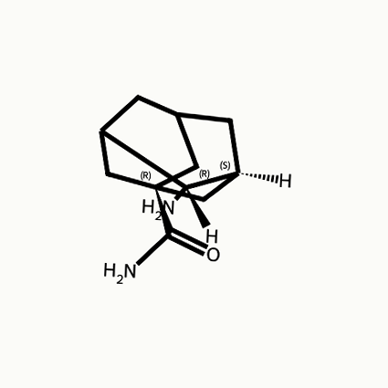 NC(=O)[C@]12CC3CC(C1)[C@@H](N)[C@@H](C3)C2